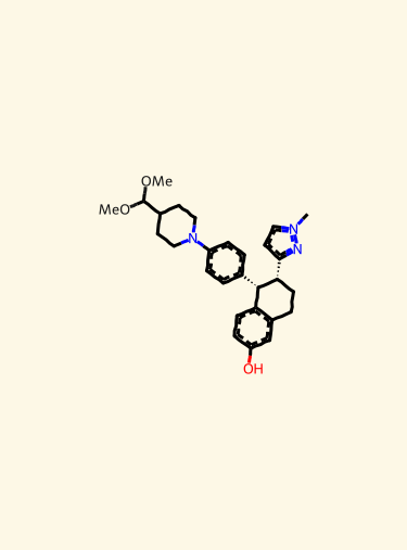 COC(OC)C1CCN(c2ccc([C@H]3c4ccc(O)cc4CC[C@H]3c3ccn(C)n3)cc2)CC1